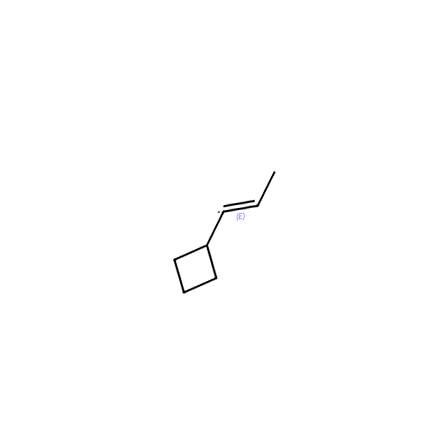 C/C=[C]/C1CCC1